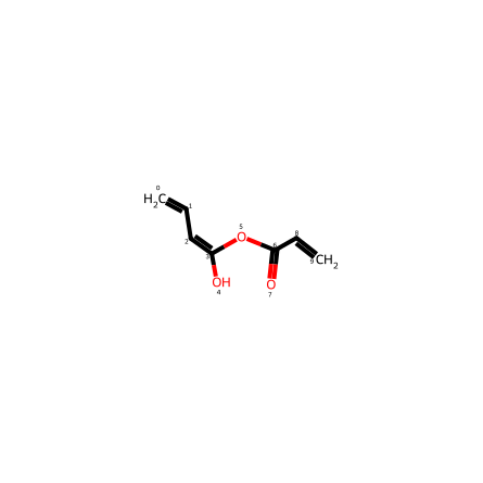 C=CC=C(O)OC(=O)C=C